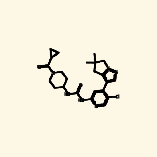 CC1(C)Cc2c(-c3cc(NC(=O)NC4CCN(C(=O)C5CC5)CC4)ncc3Cl)cnn2C1